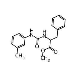 COC(=O)C(Cc1ccccc1)NC(=O)Nc1cccc(C)c1